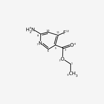 CCOC(=O)c1cnc(N)cc1F